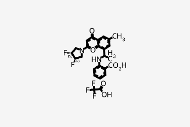 Cc1cc(C(C)Nc2ccccc2C(=O)O)c2oc(N3C[C@@H](F)[C@@H](F)C3)cc(=O)c2c1.O=C(O)C(F)(F)F